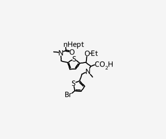 CCCCCCCC(=O)N(C)Cc1ccc(C(OCC)C(C(=O)O)N(C)Cc2ccc(Br)s2)s1